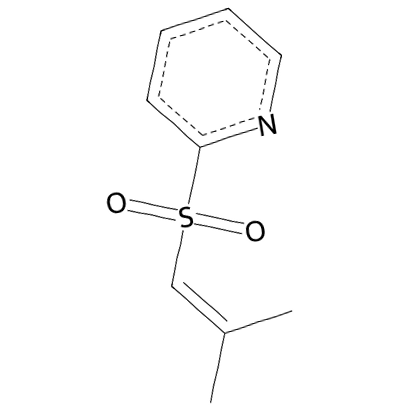 CC(C)=CS(=O)(=O)c1ccccn1